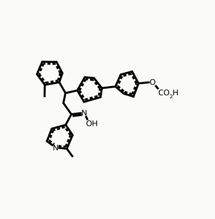 Cc1cc(C(CC(c2ccc(-c3ccc(OC(=O)O)cc3)cc2)c2ccccc2C)=NO)ccn1